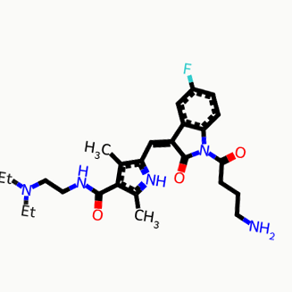 CCN(CC)CCNC(=O)c1c(C)[nH]c(C=C2C(=O)N(C(=O)CCCN)c3ccc(F)cc32)c1C